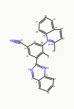 Cc1c(-c2ncc3ccccc3n2)cc(C#N)cc1-[n+]1c(C)ccc2ccccc21